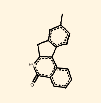 Cc1ccc2c(c1)Cc1[nH]c(=O)c3ccccc3c1-2